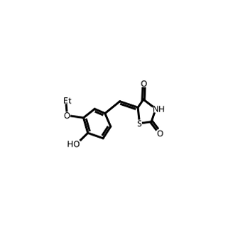 CCOc1cc(/C=C2\SC(=O)NC2=O)ccc1O